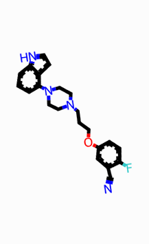 N#Cc1cc(OCCCN2CCN(c3cccc4[nH]ccc34)CC2)ccc1F